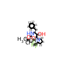 CC(C)(C)OC(=O)N[C@@H](Cc1ccccc1)[C@@H](O)CN1CCC[C@H]1C(F)(F)F